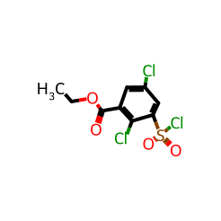 CCOC(=O)c1cc(Cl)cc(S(=O)(=O)Cl)c1Cl